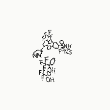 O=C(O)C(F)(F)F.O=C(O)C(F)(F)F.O=S(=O)(Nc1cscn1)c1cc(Cl)c(Oc2cc(C(F)(F)F)c(F)cc2-c2ccnnc2)cc1F